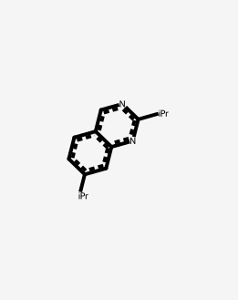 CC(C)c1ccc2cnc(C(C)C)nc2c1